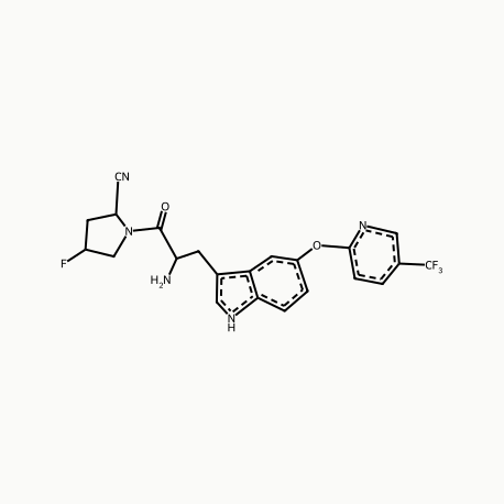 N#CC1CC(F)CN1C(=O)C(N)Cc1c[nH]c2ccc(Oc3ccc(C(F)(F)F)cn3)cc12